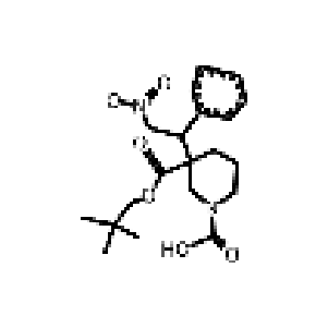 CC(C)(C)COC(=O)C1(C(C[N+](=O)[O-])c2ccccc2)CCCN(C(=O)O)C1